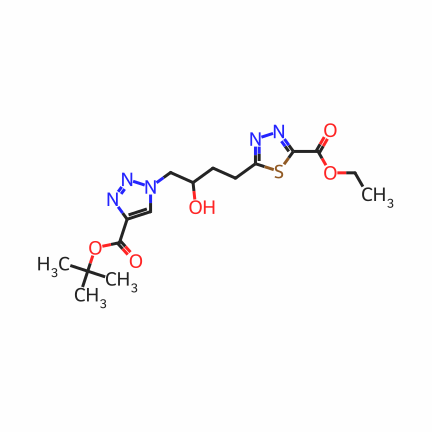 CCOC(=O)c1nnc(CCC(O)Cn2cc(C(=O)OC(C)(C)C)nn2)s1